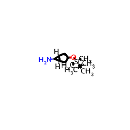 CC(C)(C)[Si](C)(C)OC1C[C@@H]2[C@H](N)[C@@H]2C1